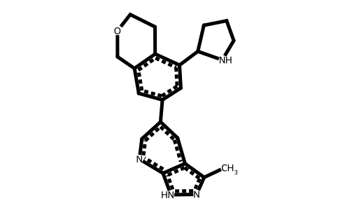 Cc1n[nH]c2ncc(-c3cc4c(c(C5CCCN5)c3)CCOC4)cc12